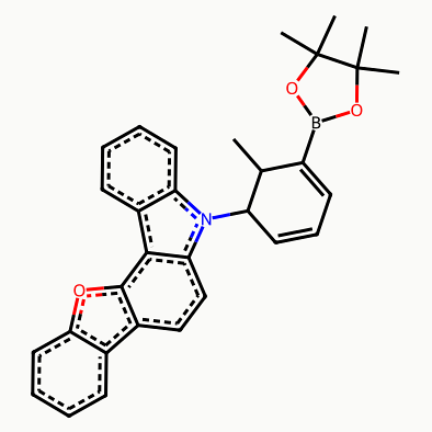 CC1C(B2OC(C)(C)C(C)(C)O2)=CC=CC1n1c2ccccc2c2c3oc4ccccc4c3ccc21